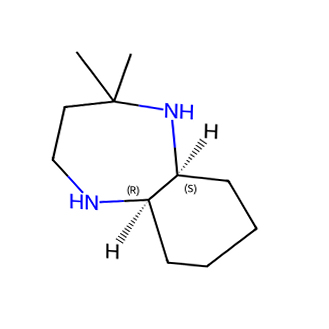 CC1(C)CCN[C@@H]2CCCC[C@@H]2N1